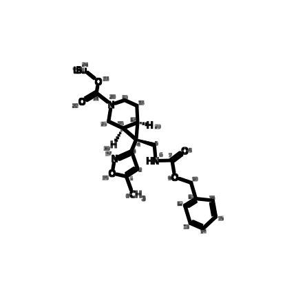 Cc1cc([C@@]2(CNC(=O)OCc3ccccc3)[C@@H]3CCN(C(=O)OC(C)(C)C)C[C@@H]32)no1